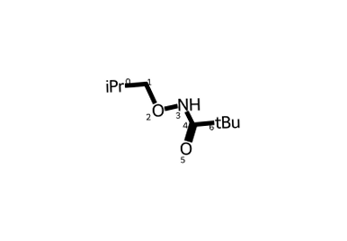 CC(C)CONC(=O)C(C)(C)C